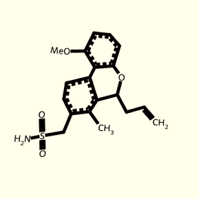 C=CCC1Oc2cccc(OC)c2-c2ccc(CS(N)(=O)=O)c(C)c21